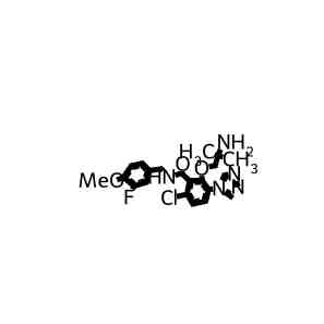 COc1ccc(CNC(=O)c2c(Cl)ccc(-n3cnnc3)c2OCC(C)(C)N)cc1F